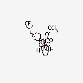 O=C(N[C@H]1C[C@H]2CC[C@@H](C1)N2S(=O)(=O)CC1CCN(CCCC(F)(F)F)CC1)OCC(Cl)(Cl)Cl